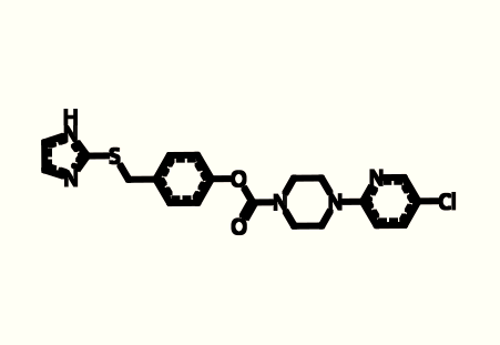 O=C(Oc1ccc(CSc2ncc[nH]2)cc1)N1CCN(c2ccc(Cl)cn2)CC1